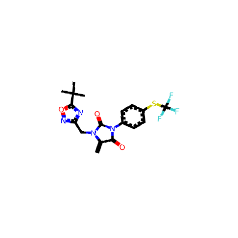 C=C1C(=O)N(c2ccc(SC(F)(F)F)cc2)C(=O)N1Cc1noc(C(C)(C)C)n1